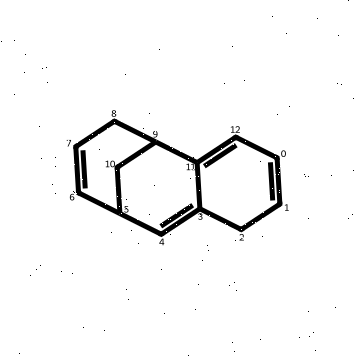 C1=CCC2=CC3C=CCC(C3)C2=C1